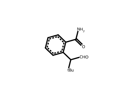 CC(C)(C)C(C=O)c1ccccc1C(N)=O